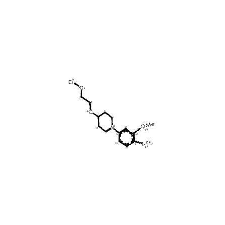 CCOCCOC1CCN(c2ccc([N+](=O)[O-])c(OC)c2)CC1